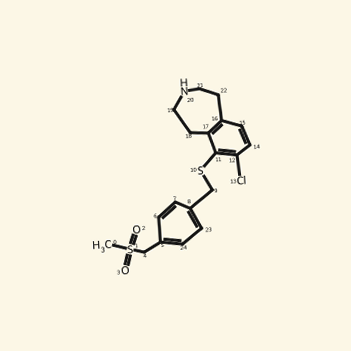 CS(=O)(=O)Cc1ccc(CSc2c(Cl)ccc3c2CCNCC3)cc1